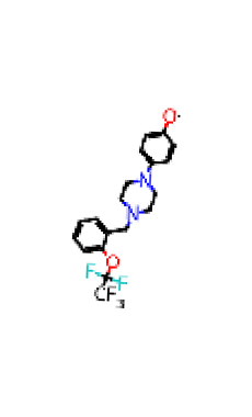 [O]c1ccc(N2CCN(Cc3ccccc3OC(F)(F)C(F)(F)F)CC2)cc1